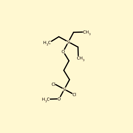 CC[Si](CC)(CC)OCCC[Si](Cl)(Cl)OC